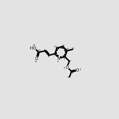 CC(=O)OCc1nc(C=CC(=O)O)ccc1C